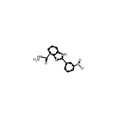 NNC(=O)c1cccc2[nH]c(-c3cccc([N+](=O)[O-])c3)nc12